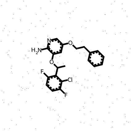 CC(Oc1cc(OCCc2ccccc2)cnc1N)c1c(F)ccc(F)c1Cl